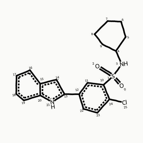 O=S(=O)(NC1CCCCC1)c1cc(-c2[c]c3ccccc3[nH]2)ccc1Cl